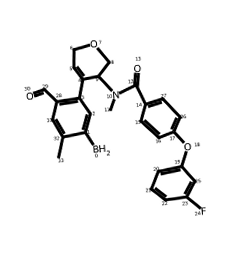 Bc1cc(C2=CCOCC2N(C)C(=O)c2ccc(Oc3cccc(F)c3)cc2)c(C=O)cc1C